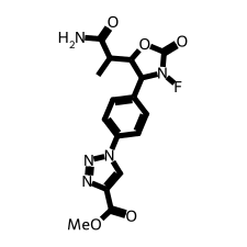 COC(=O)c1cn(-c2ccc(C3C(C(C)C(N)=O)OC(=O)N3F)cc2)nn1